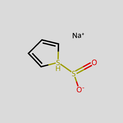 O=S([O-])[SH]1C=CC=C1.[Na+]